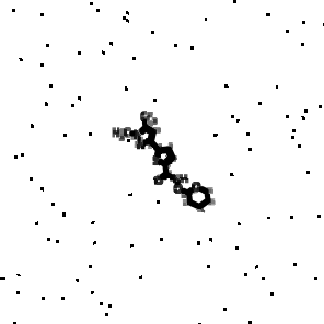 Cn1nc(-c2ccc(C(=O)NOC3CCCCO3)s2)cc1C(F)(F)F